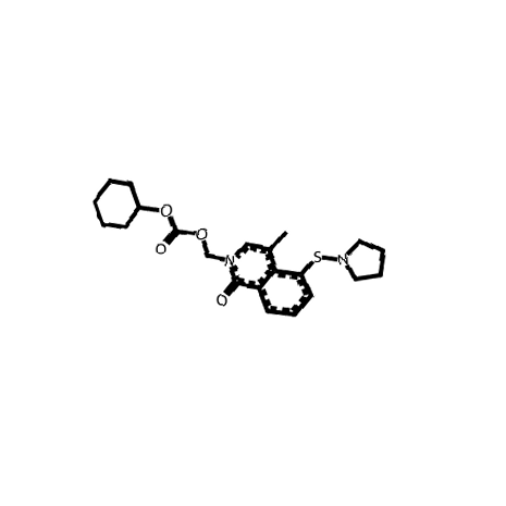 Cc1cn(COC(=O)OC2CCCCC2)c(=O)c2cccc(SN3CCCC3)c12